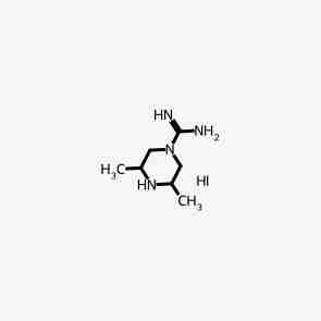 CC1CN(C(=N)N)CC(C)N1.I